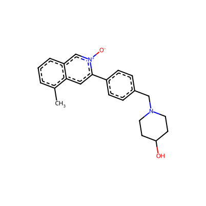 Cc1cccc2c[n+]([O-])c(-c3ccc(CN4CCC(O)CC4)cc3)cc12